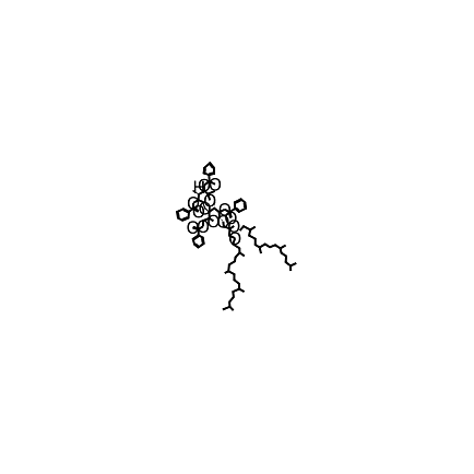 CC(C)CCCC(C)CCCC(C)CCCC(C)CCOCC(CO[C@@H]1OC(COC(=O)c2ccccc2)[C@@H](O[C@@H]2OC3COC(c4ccccc4)O[C@@H]3[C@H](C)C2OC(=O)c2ccccc2)[C@H](C)C1OC(=O)c1ccccc1)OCCC(C)CCCC(C)CCCC(C)CCCC(C)C